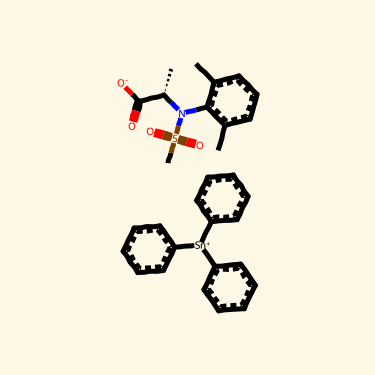 Cc1cccc(C)c1N([C@@H](C)C(=O)[O-])S(C)(=O)=O.c1cc[c]([Sn+]([c]2ccccc2)[c]2ccccc2)cc1